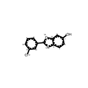 Oc1ccc2nc(-c3cccc(Cl)c3)oc2c1